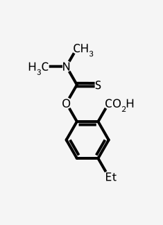 CCc1ccc(OC(=S)N(C)C)c(C(=O)O)c1